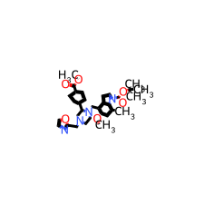 COC(=O)c1ccc(C2CN(Cc3ncco3)CCN2Cc2c(OC)cc(C)c3c2ccn3C(=O)OC(C)(C)C)cc1